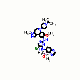 COc1cc2c(cc1Nc1ncc(Br)c(Nc3ccc4nccnc4c3P(C)(C)=O)n1)-c1cnn(C)c1CCN2C1CCN(C(C)C)CC1